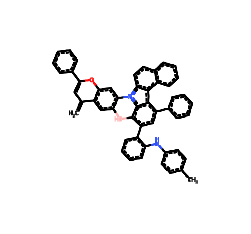 C=C1C=C(c2ccccc2)Oc2cc3c(cc21)Bc1c(-c2ccccc2Nc2ccc(C)cc2)cc(-c2ccccc2)c2c4c5ccccc5ccc4n-3c12